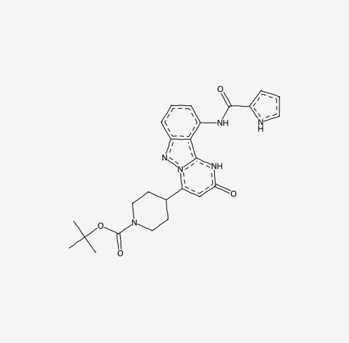 CC(C)(C)OC(=O)N1CCC(c2cc(=O)[nH]c3c4c(NC(=O)c5ccc[nH]5)cccc4nn23)CC1